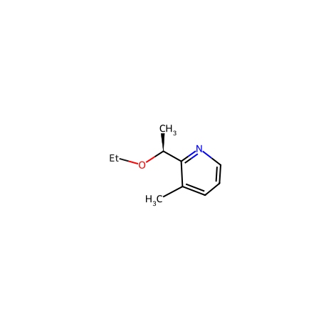 CCO[C@@H](C)c1ncccc1C